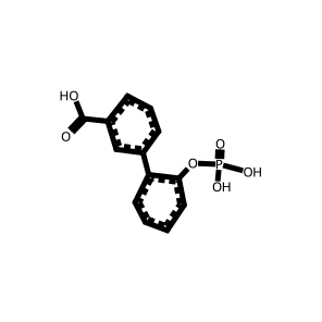 O=C(O)c1cccc(-c2ccccc2OP(=O)(O)O)c1